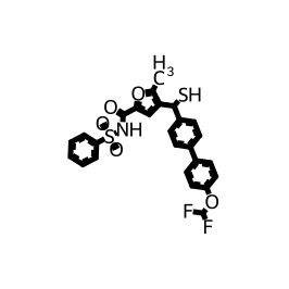 Cc1oc(C(=O)NS(=O)(=O)c2ccccc2)cc1C(S)c1ccc(-c2ccc(OC(F)F)cc2)cc1